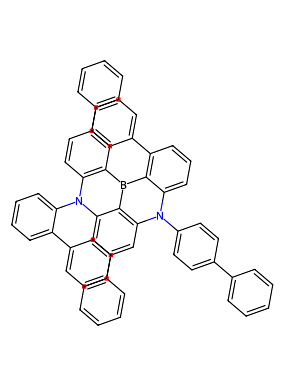 c1ccc(-c2ccc(N3c4cccc(-c5ccccc5)c4B4c5cc(-c6ccccc6)ccc5N(c5ccccc5-c5ccccc5)c5cc(-c6ccccc6)cc3c54)cc2)cc1